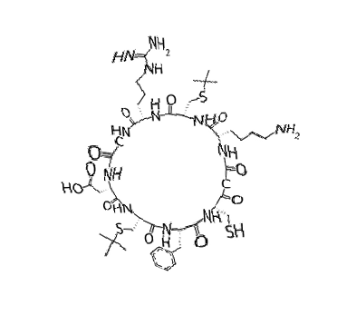 CC(C)(C)SC[C@@H]1NC(=O)[C@H](CCCCN)NC(=O)CC(=O)[C@H](CS)NC(=O)[C@H](Cc2ccccc2)NC(=O)[C@H](CSC(C)(C)C)NC(=O)[C@H](CC(=O)O)NC(=O)CNC(=O)[C@H](CCCNC(=N)N)NC1=O